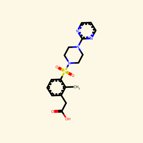 Cc1c(CC(=O)O)cccc1S(=O)(=O)N1CCN(c2ncccn2)CC1